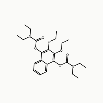 CCOc1c(OCC)c(OC(=O)N(CC)CC)c2ccccc2c1OC(=O)N(CC)CC